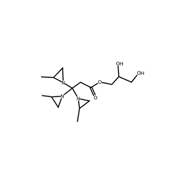 CC1CN1C(CC(=O)OCC(O)CO)(N1CC1C)N1CC1C